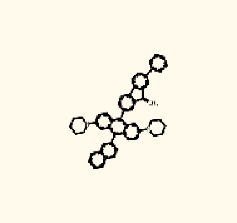 C=C1c2cc(-c3ccccc3)ccc2-c2ccc(-c3c4ccc(N5CCCCC5)cc4c(-c4ccc5ccccc5c4)c4ccc(N5CCCCC5)cc34)cc21